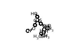 C[C@]12COC(=O)C[C@@H]1CC[C@@H]1[C@@H]2CC[C@@]2(C)[C@H]1CC[C@]2(C)O.O=C(c1ccc(OCCN2CCCCC2)cc1)c1c(-c2ccc(O)cc2)sc2cc(O)ccc12